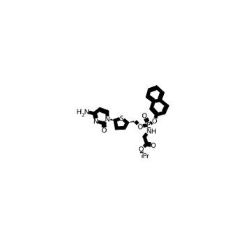 CC(C)OC(=O)CNP(=O)(OC[C@@H]1CC[C@H](n2ccc(N)nc2=O)S1)Oc1ccc2ccccc2c1